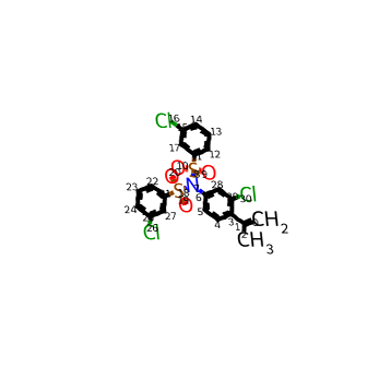 C=C(C)c1ccc(N(S(=O)(=O)c2cccc(Cl)c2)S(=O)(=O)c2cccc(Cl)c2)cc1Cl